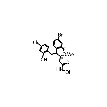 CO[C@H](CC(=O)NO)C(Cc1ccc(Cl)cc1C)c1ccc(Br)cc1F